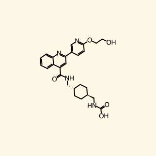 O=C(O)NC[C@H]1CC[C@H](CNC(=O)c2cc(-c3ccc(OCCO)nc3)nc3ccccc23)CC1